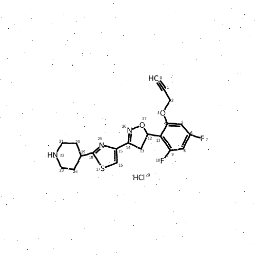 C#CCOc1cc(F)cc(F)c1C1CC(c2csc(C3CCNCC3)n2)=NO1.Cl